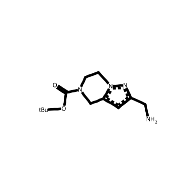 CC(C)(C)OC(=O)N1CCn2nc(CN)cc2C1